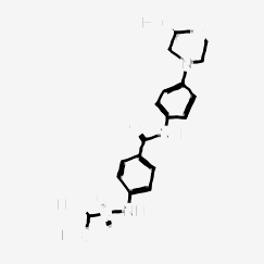 CC(C)S(=O)(=O)Nc1ccc(C(=O)Nc2ccc(N3CCO[C@H](C)C3)cc2)cc1